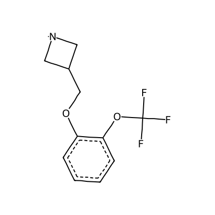 FC(F)(F)Oc1ccccc1OCC1C[N]C1